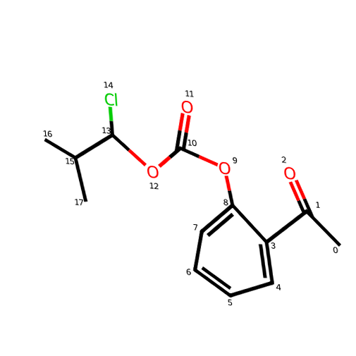 CC(=O)c1ccccc1OC(=O)OC(Cl)C(C)C